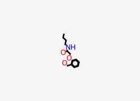 CCCCNC(=O)COc1ccccc1C=O